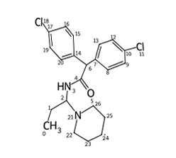 CCC(NC(=O)C(c1ccc(Cl)cc1)c1ccc(Cl)cc1)N1CC[CH]CC1